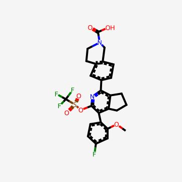 COc1cc(F)ccc1-c1c(OS(=O)(=O)C(F)(F)F)nc(-c2ccc3c(c2)CCN(C(=O)O)C3)c2c1CCC2